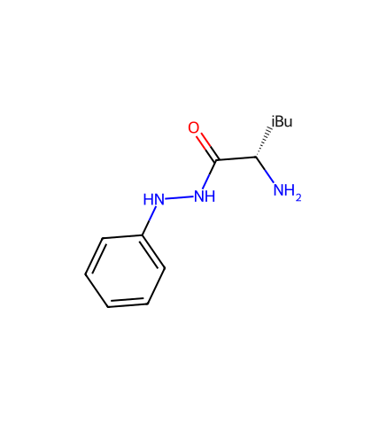 CCC(C)[C@H](N)C(=O)NNc1ccccc1